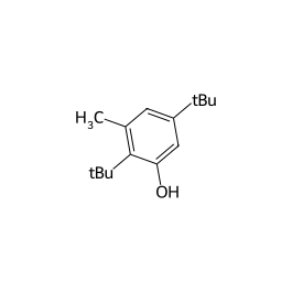 Cc1cc(C(C)(C)C)cc(O)c1C(C)(C)C